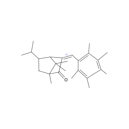 Cc1c(C)c(C)c(/C=C2\C(=O)C3(C)CC(C(C)C)C2C3(C)C)c(C)c1C